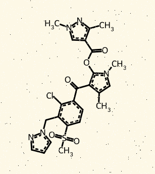 Cc1cn(C)c(OC(=O)c2cn(C)nc2C)c1C(=O)c1ccc(S(C)(=O)=O)c(Cn2cccn2)c1Cl